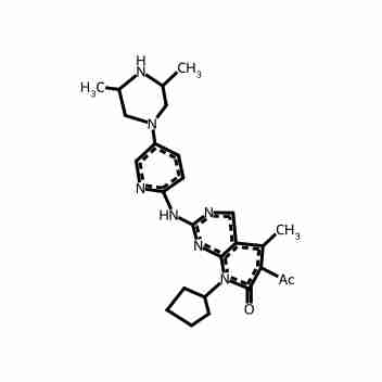 CC(=O)c1c(C)c2cnc(Nc3ccc(N4CC(C)NC(C)C4)cn3)nc2n(C2CCCC2)c1=O